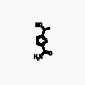 C[C](O)c1ccc(C(N)=O)s1